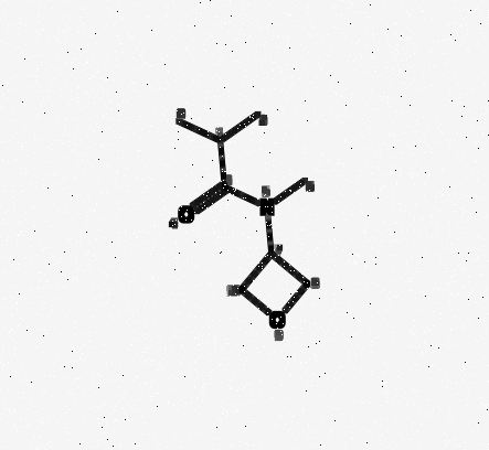 CC(C)C(=O)N(C)C1COC1